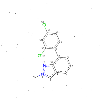 Cn1cc2cccc(-c3ccc(Cl)cc3Cl)c2n1